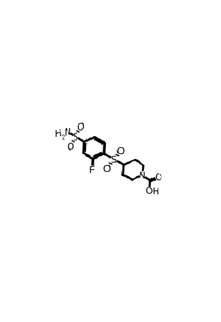 NS(=O)(=O)c1ccc(S(=O)(=O)C2CCN(C(=O)O)CC2)c(F)c1